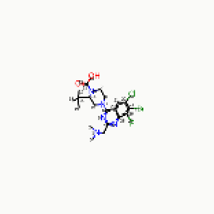 CN(C)Cc1nc(N2CCN(C(=O)O)C(C(C)(C)C)C2)c2cc(Cl)c(Br)c(F)c2n1